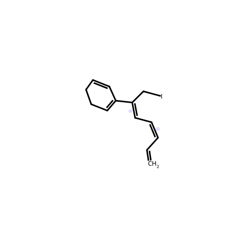 C=C/C=C\C=C(/CI)C1=CCCC=C1